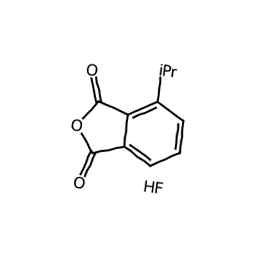 CC(C)c1cccc2c1C(=O)OC2=O.F